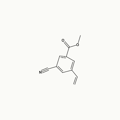 C=Cc1cc(C#N)cc(C(=O)OC)c1